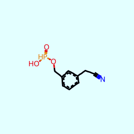 N#CCc1cccc(CO[PH](=O)O)c1